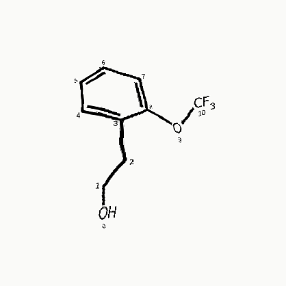 OCCc1cc[c]cc1OC(F)(F)F